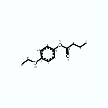 CC[CH]C(=O)Oc1ccc(OCC)cc1